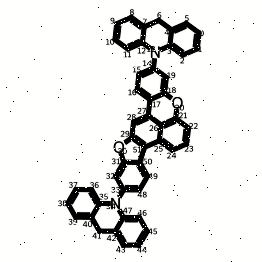 c1ccc2c(c1)Cc1ccccc1N2c1ccc2c(c1)Oc1cccc3c1c-2cc1oc2cc(N4c5ccccc5Cc5ccccc54)ccc2c13